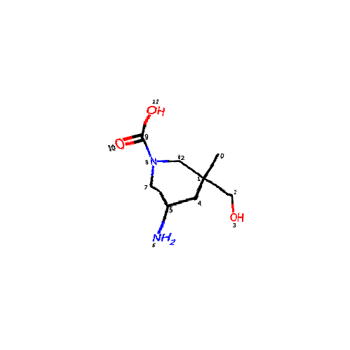 CC1(CO)CC(N)CN(C(=O)O)C1